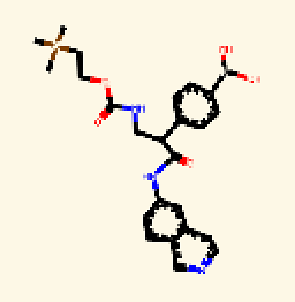 CS(C)(C)CCOC(=O)NCC(C(=O)Nc1ccc2cnccc2c1)c1ccc(B(O)O)cc1